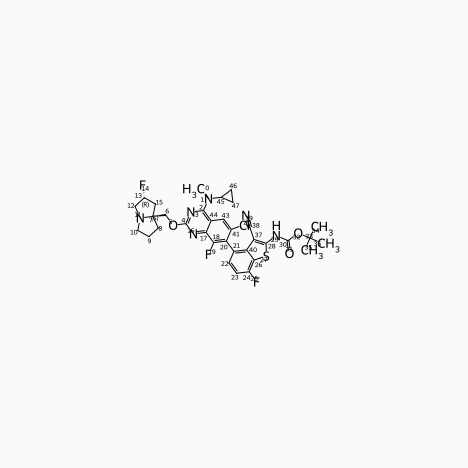 CN(c1nc(OC[C@@]23CCCN2C[C@H](F)C3)nc2c(F)c(-c3ccc(F)c4sc(NC(=O)OC(C)(C)C)c(C#N)c34)c(Cl)cc12)C1CC1